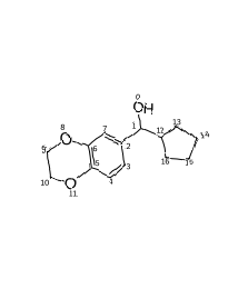 OC(c1ccc2c(c1)OCCO2)C1CCCC1